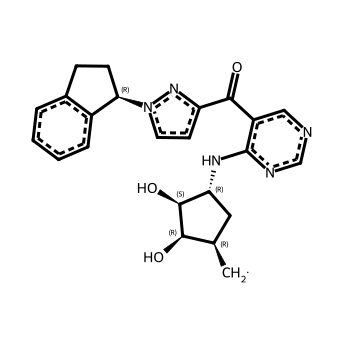 [CH2][C@@H]1C[C@@H](Nc2ncncc2C(=O)c2ccn([C@@H]3CCc4ccccc43)n2)[C@H](O)[C@@H]1O